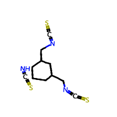 N=C=S.S=C=NCC1CCCC(CN=C=S)C1